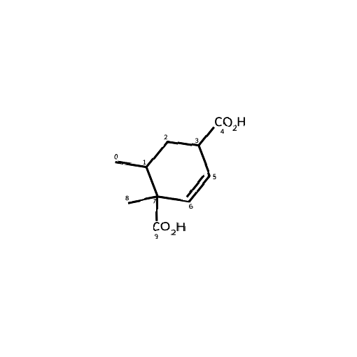 CC1CC(C(=O)O)C=CC1(C)C(=O)O